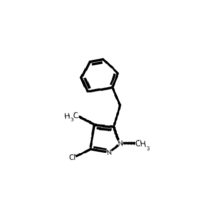 Cc1c(Cl)nn(C)c1Cc1ccccc1